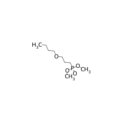 CCCCOCCCP(=O)(OC)OC